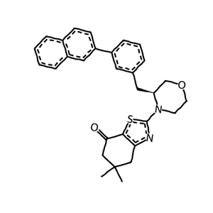 CC1(C)CC(=O)c2sc(N3CCOC[C@@H]3Cc3cccc(-c4ccc5ccccc5c4)c3)nc2C1